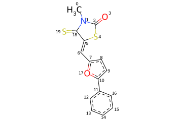 CN1C(=O)S/C(=C\c2ccc(-c3ccccc3)o2)C1=S